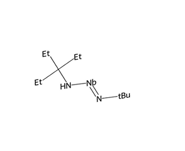 CCC(CC)(CC)[NH]/[Nb]=[N]/C(C)(C)C